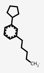 [CH2]CCCCc1cccc(C2CCCC2)c1